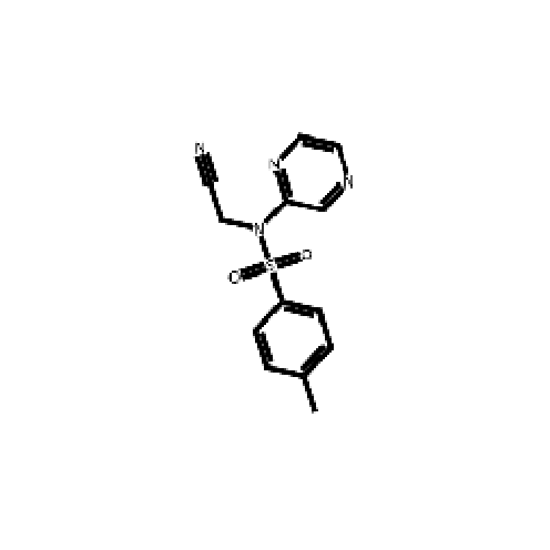 Cc1ccc(S(=O)(=O)N(CC#N)c2cnccn2)cc1